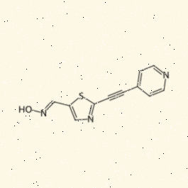 O/N=C/c1cnc(C#Cc2ccncc2)s1